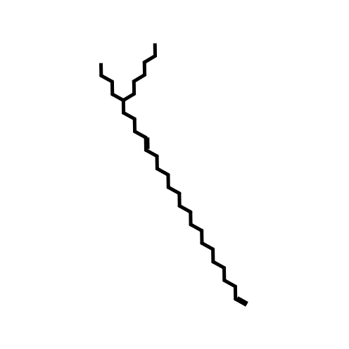 C=CCCCCCCCCCCCCCCCC=CCCCC(CCCC)CCCCCC